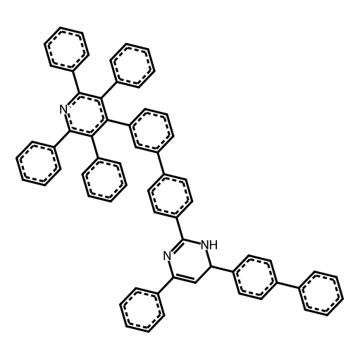 C1=C(c2ccccc2)N=C(c2ccc(-c3cccc(-c4c(-c5ccccc5)c(-c5ccccc5)nc(-c5ccccc5)c4-c4ccccc4)c3)cc2)NC1c1ccc(-c2ccccc2)cc1